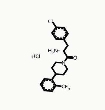 Cl.N[C@H](Cc1ccc(Cl)cc1)C(=O)N1CCC(c2ccccc2C(F)(F)F)CC1